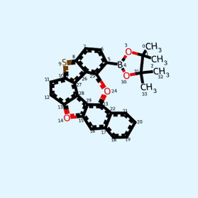 CC1(C)OB(c2ccc3sc4ccc5oc6cc7ccccc7c7oc2c3c4c5c67)OC1(C)C